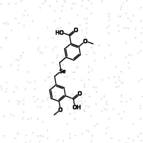 COc1ccc(C[Se]Cc2ccc(OC)c(C(=O)O)c2)cc1C(=O)O